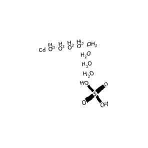 O.O.O.O.O.O.O.O.O=S(=O)(O)O.[Cd]